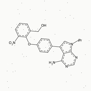 CC(C)n1cc(-c2ccc(Oc3c(CO)cccc3[N+](=O)[O-])cc2)c2c(N)ncnc21